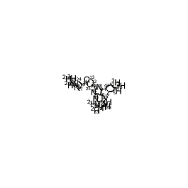 [2H]C([2H])([2H])c1ccc(-c2nc([C@H]3CCO[C@@H](c4cnn(C([2H])([2H])[2H])c4)C3)nc3nc(C([2H])([2H])[2H])c(C([2H])([2H])[2H])nc23)cc1